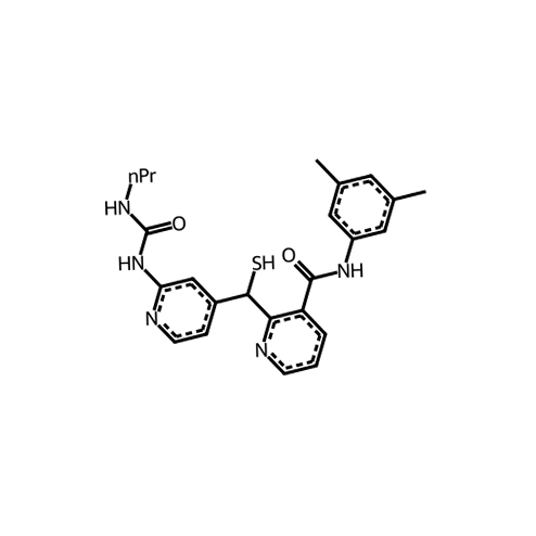 CCCNC(=O)Nc1cc(C(S)c2ncccc2C(=O)Nc2cc(C)cc(C)c2)ccn1